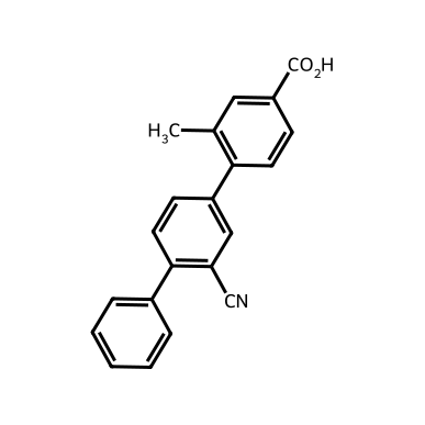 Cc1cc(C(=O)O)ccc1-c1ccc(-c2ccccc2)c(C#N)c1